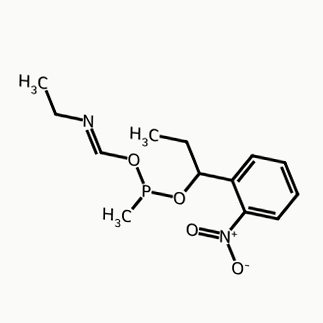 CC/N=C/OP(C)OC(CC)c1ccccc1[N+](=O)[O-]